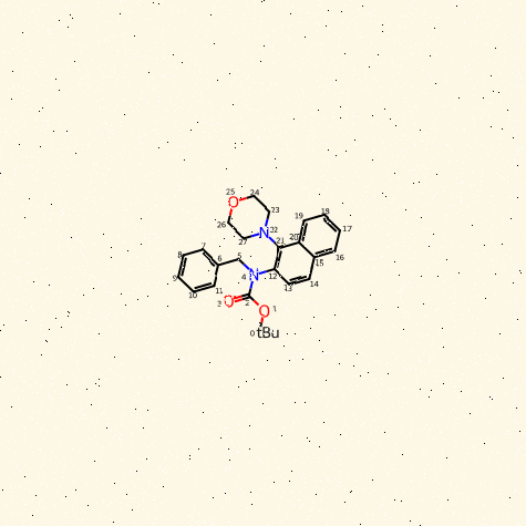 CC(C)(C)OC(=O)N(Cc1ccccc1)c1ccc2ccccc2c1N1CCOCC1